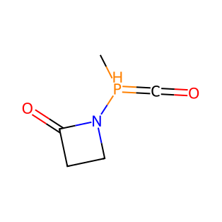 C[PH](=C=O)N1CCC1=O